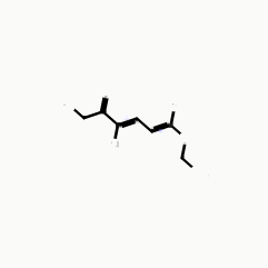 N/C(=C\C=C(/N)OCC(F)(F)F)C(=O)CO